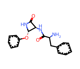 N[C@@H](Cc1ccccc1)C(=O)N[C@@H]1C(=O)N[C@H]1Oc1ccccc1